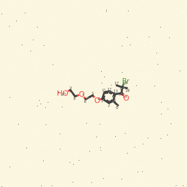 Cc1cc(OCCOCCO)ccc1C(=O)C(C)(C)Br